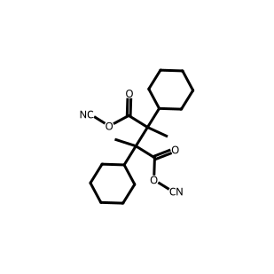 CC(C(=O)OC#N)(C1CCCCC1)C(C)(C(=O)OC#N)C1CCCCC1